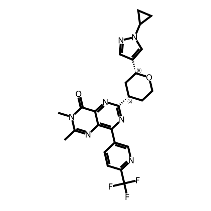 Cc1nc2c(-c3ccc(C(F)(F)F)nc3)nc([C@H]3CCO[C@@H](c4cnn(C5CC5)c4)C3)nc2c(=O)n1C